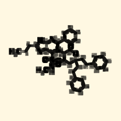 CCCc1nc2nc(-c3ccccc3)n(C3=C(O)CC(CCc4ccccc4)(CCc4ccccc4)OC3=O)c(S(=O)(=O)NC)c-2n1